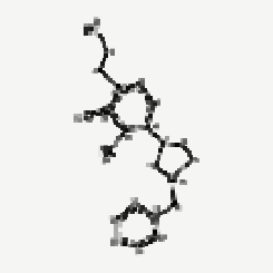 CC(C)CCn1ccc(C2CCN(Cc3ccccc3)C2)c(C#N)c1=O